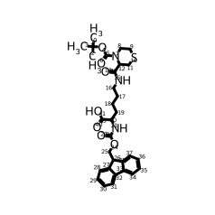 CC(C)(C)OC(=O)N1CCSCC1C(=O)NCCCCC(NC(=O)OCC1c2ccccc2-c2ccccc21)C(=O)O